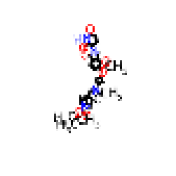 COc1c(O[C@H]2C[C@H](N(CC3CCN(C(=O)OC(C)(C)C)CC3)C(C)C)C2)ccc2c1CN(C1CCC(=O)NC1=O)C2=O